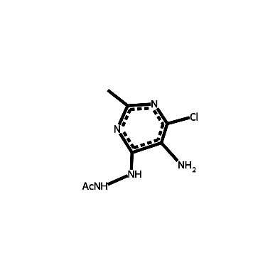 CC(=O)NNc1nc(C)nc(Cl)c1N